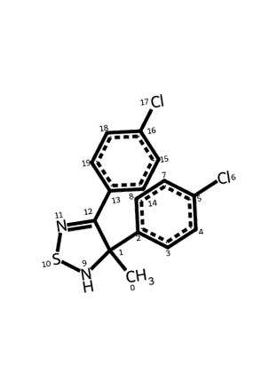 CC1(c2ccc(Cl)cc2)NSN=C1c1ccc(Cl)cc1